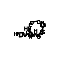 O=C1Nc2cnn(CCN3CCNCC3)c2C(=O)NCCOCCOc2cc(ccn2)-c2nc1cs2